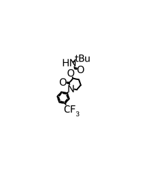 CC(C)(C)NC(=O)OC1CCCN(c2cccc(C(F)(F)F)c2)C1=O